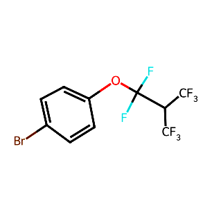 FC(F)(F)C(C(F)(F)F)C(F)(F)Oc1ccc(Br)cc1